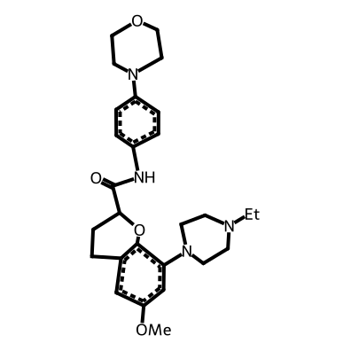 CCN1CCN(c2cc(OC)cc3c2OC(C(=O)Nc2ccc(N4CCOCC4)cc2)CC3)CC1